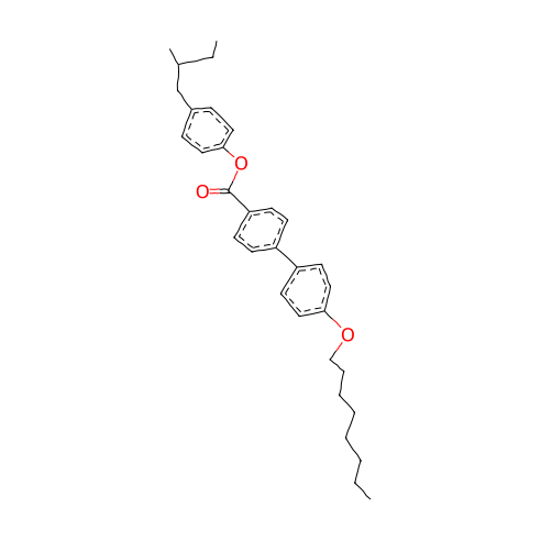 CCCCCCCCOc1ccc(-c2ccc(C(=O)Oc3ccc(CC(C)CC)cc3)cc2)cc1